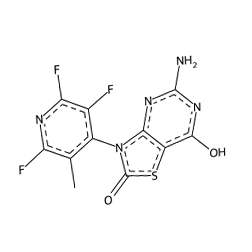 Cc1c(F)nc(F)c(F)c1-n1c(=O)sc2c(O)nc(N)nc21